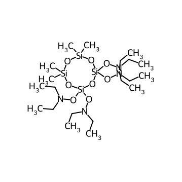 CCN(CC)O[Si]1(ON(CC)CC)O[Si](C)(C)O[Si](C)(C)O[Si](ON(CC)CC)(ON(CC)CC)O1